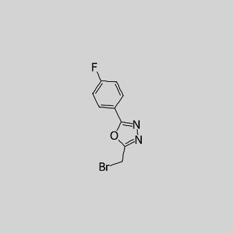 Fc1ccc(-c2nnc(CBr)o2)cc1